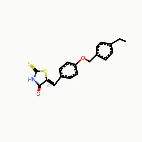 CCc1ccc(COc2ccc(/C=C3\SC(=S)NC3=O)cc2)cc1